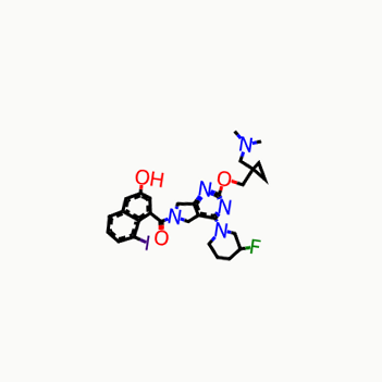 CN(C)CC1(COc2nc3c(c(N4CCCC(F)C4)n2)CN(C(=O)c2cc(O)cc4cccc(I)c24)C3)CC1